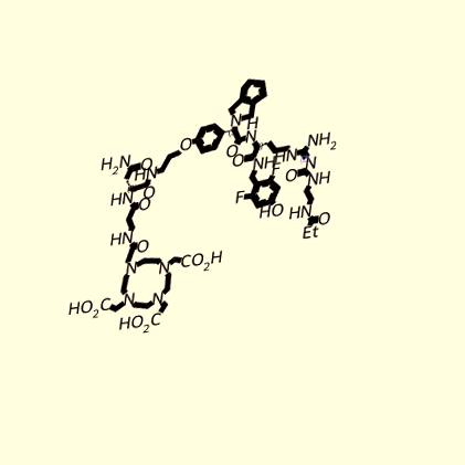 CCC(=O)NCCNC(=O)/N=C(/N)NCCC[C@@H](NC(=O)[C@H](c1ccc(OCCCNC(=O)[C@@H](CC(N)=O)NC(=O)CCNC(=O)CN2CCN(CC(=O)O)CCN(CC(=O)O)CCN(CC(=O)O)CC2)cc1)N1Cc2ccccc2C1)C(=O)NCc1c(F)cc(O)cc1F